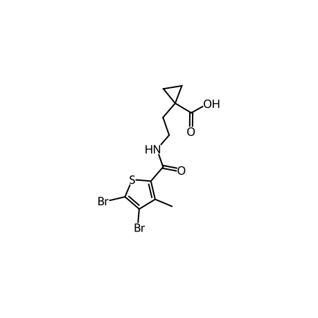 Cc1c(C(=O)NCCC2(C(=O)O)CC2)sc(Br)c1Br